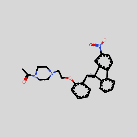 CC(=O)N1CCN(CCOc2ccccc2/C=C2\c3ccccc3-c3ccc([N+](=O)[O-])cc32)CC1